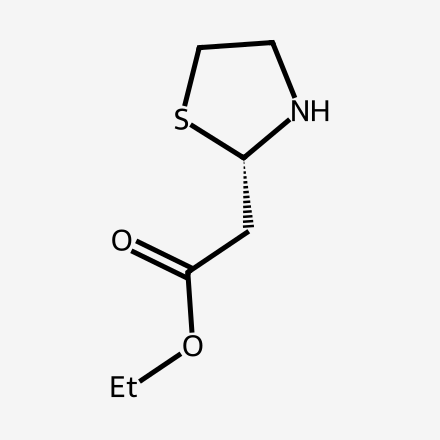 CCOC(=O)C[C@H]1NCCS1